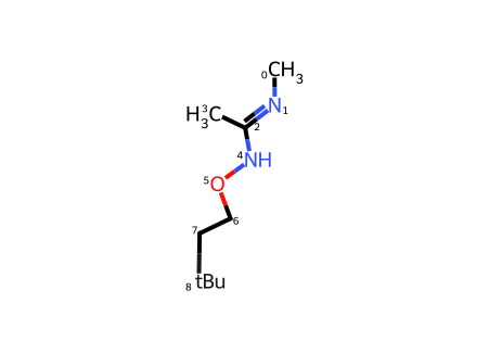 C/N=C(\C)NOCCC(C)(C)C